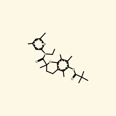 CCN(C(=O)C1(C)CCc2c(C)c(OC(=O)C(C)(C)C)c(C)c(C)c2O1)c1cc(C)cc(C)n1